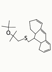 CC(C)(C)OC(C)(C)CSCC1C2CC=CC=C2C=C2C=CCCC21